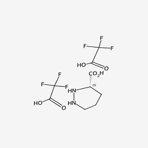 O=C(O)C(F)(F)F.O=C(O)C(F)(F)F.O=C(O)[C@@H]1CCCNN1